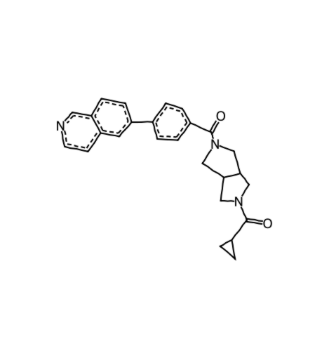 O=C(c1ccc(-c2ccc3cnccc3c2)cc1)N1CC2CN(C(=O)C3CC3)CC2C1